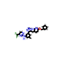 Cc1cc(Nc2nccc(C(F)F)n2)cc(-c2nn[nH]c2Cc2ccc(OCc3ccccc3)nc2)c1